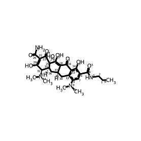 CCCNC(=O)c1cc(N(C)C)c2c(c1O)C(=O)C1=C(O)[C@]3(O)C(=O)C(C(N)=O)=C(O)[C@H](N(C)C)[C@@H]3C[C@@H]1C2